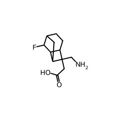 NCC1(CC(=O)O)C2CCC3CC1C2C3F